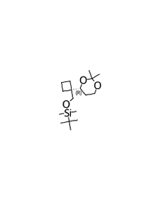 CC1(C)OCC[C@H](C2(CO[Si](C)(C)C(C)(C)C)CCC2)O1